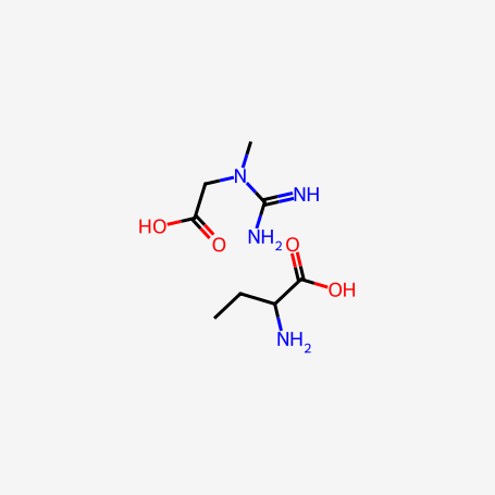 CCC(N)C(=O)O.CN(CC(=O)O)C(=N)N